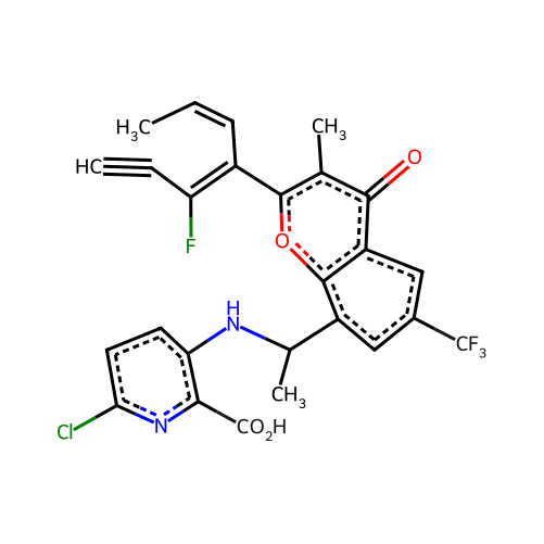 C#C/C(F)=C(\C=C/C)c1oc2c(C(C)Nc3ccc(Cl)nc3C(=O)O)cc(C(F)(F)F)cc2c(=O)c1C